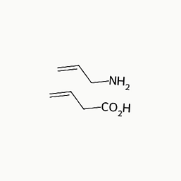 C=CCC(=O)O.C=CCN